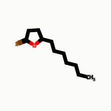 CCCCCCCC1CCC(=S)O1